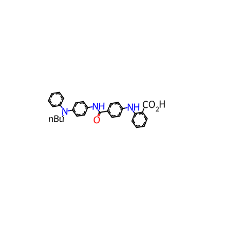 CCCCN(c1ccccc1)c1ccc(NC(=O)c2ccc(Nc3ccccc3C(=O)O)cc2)cc1